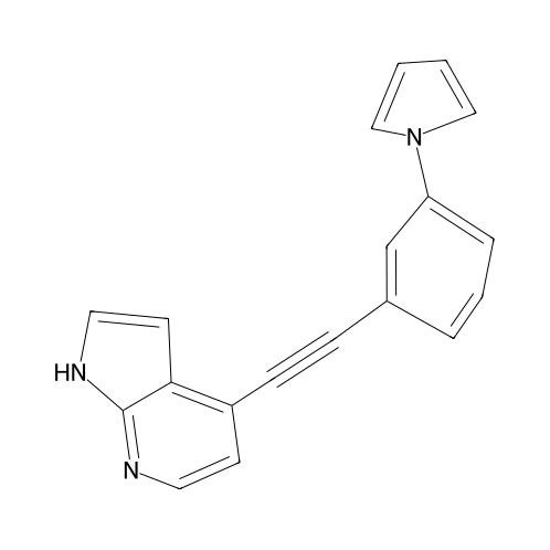 C(#Cc1ccnc2[nH]ccc12)c1cccc(-n2cccc2)c1